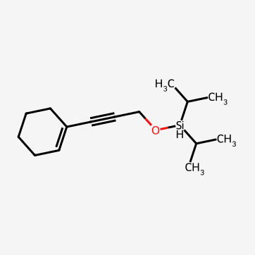 CC(C)[SiH](OCC#CC1=CCCCC1)C(C)C